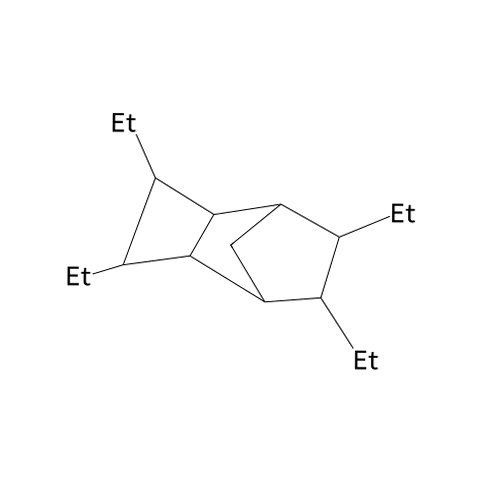 CCC1C(CC)C2CC1C1C(CC)C(CC)C21